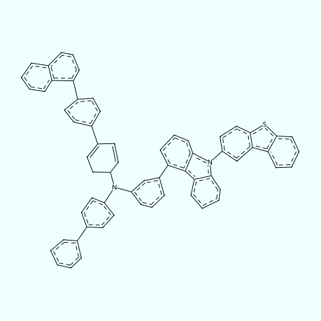 C1=CC(N(c2ccc(-c3ccccc3)cc2)c2cccc(-c3cccc4c3c3ccccc3n4-c3ccc4sc5ccccc5c4c3)c2)CC=C1c1ccc(-c2cccc3ccccc23)cc1